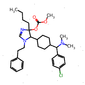 CCCCC1(OC(=O)OC)N=CN(CCc2ccccc2)C1C1CCC(C(c2ccc(Cl)cc2)N(C)C)CC1